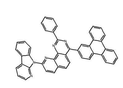 c1ccc(-c2nc(-c3ccc4c5ccccc5c5ccccc5c4c3)c3ccc4ccc(-n5c6ccccc6c6cccnc65)nc4c3n2)cc1